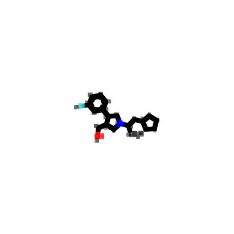 O=C(O)C(CC1CCCC1)N1CC(CO)C(c2cccc(F)c2)C1